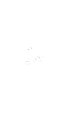 NC(=O)C1CCC(n2c(Nc3c(Cl)cc(F)cc3Cl)nc3cnc(NC4COC[C@H]4O)nc32)CC1